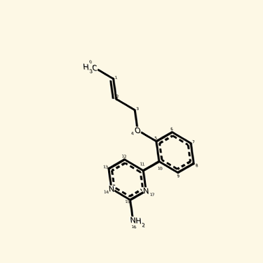 CC=CCOc1ccccc1-c1ccnc(N)n1